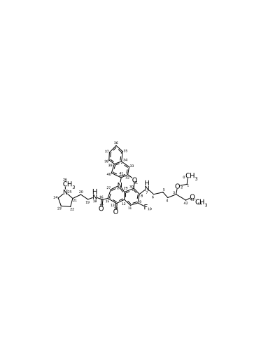 CCOC(CCCNc1c(F)cc2c(=O)c(C(=O)NCCC3CCCN3C)cn3c2c1Oc1cc2ccccc2cc1-3)COC